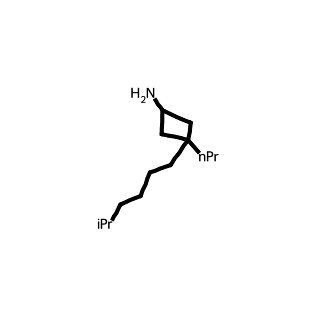 CCCC1(CCCCC(C)C)CC(N)C1